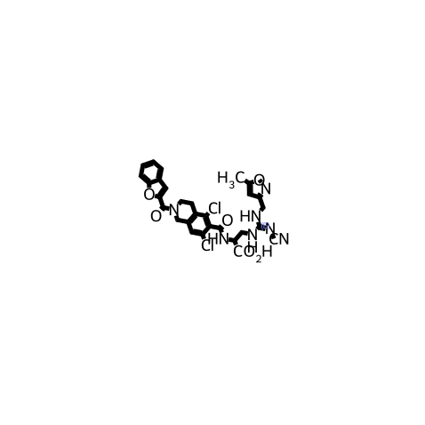 Cc1cc(CN/C(=N/C#N)NCC(NC(=O)c2c(Cl)cc3c(c2Cl)CCN(C(=O)c2cc4ccccc4o2)C3)C(=O)O)no1